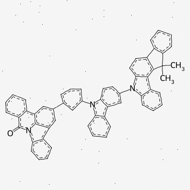 CC1(C)c2ccccc2-c2ccc3c(c21)c1ccccc1n3-c1ccc2c(c1)c1ccccc1n2-c1cccc(-c2cc3c4ccccc4c(=O)n4c5ccccc5c(c2)c34)c1